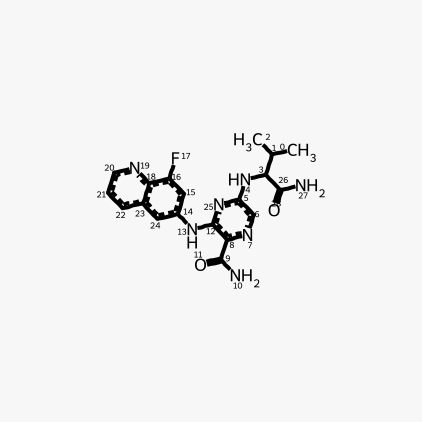 CC(C)C(Nc1cnc(C(N)=O)c(Nc2cc(F)c3ncccc3c2)n1)C(N)=O